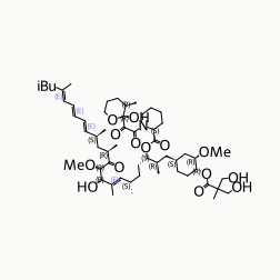 CCC(C)/C(C)=C/C=C/C=C/[C@@H](C)C[C@@H](C)C(=O)[C@H](OC)[C@H](O)/C(C)=C/[C@@H](C)CC[C@H](OC(=O)[C@@H]1CCCCN1C(=O)C(=O)[C@]1(O)OCCC[C@H]1C)[C@H](C)C[C@@H]1CC[C@@H](OC(=O)C(C)(CO)CO)[C@H](OC)C1